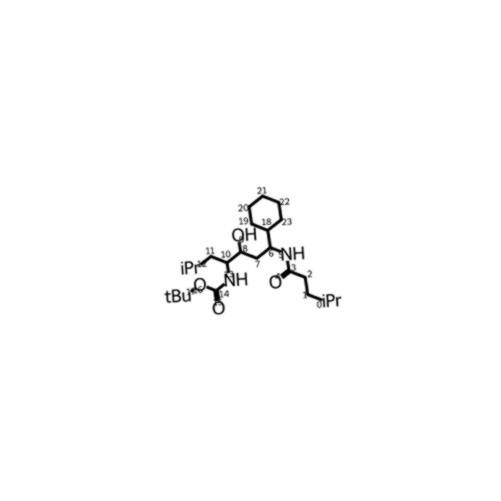 CC(C)CCC(=O)NC(CC(O)C(CC(C)C)NC(=O)OC(C)(C)C)C1CCCCC1